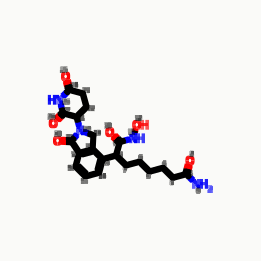 NC(=O)CCCCCC(C(=O)NO)c1cccc2c1CN(C1CCC(=O)NC1=O)C2=O